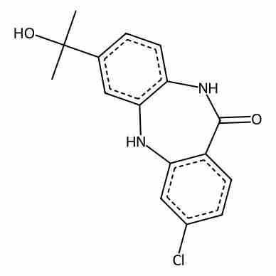 CC(C)(O)c1ccc2c(c1)Nc1cc(Cl)ccc1C(=O)N2